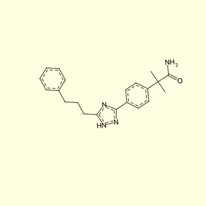 CC(C)(C(N)=O)c1ccc(-c2n[nH]c([CH]CCc3ccccc3)n2)cc1